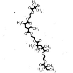 CCC(CC(C)C(=O)OCCOC(=O)C(C)(C)Br)C(=O)OCCOC(=O)C(C)(Br)CC(C)(C)C(=O)OCCOC(=O)C(C)(C)CC